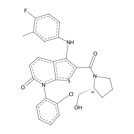 Cc1cc(Nc2c(C(=O)N3CCC[C@@H]3CO)sc3c2ccc(=O)n3-c2ccccc2Cl)ccc1F